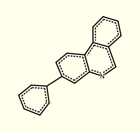 [c]1ccccc1-c1ccc2c(c1)ncc1ccccc12